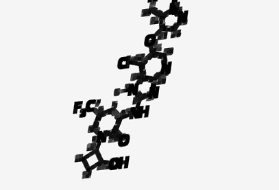 Cn1c(Nc2cc(C(F)(F)F)cn(C3CCC3O)c2=O)nc2ncc(Oc3cnn4ccncc34)c(Cl)c21